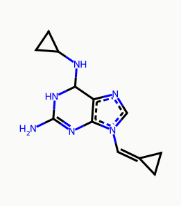 NC1=Nc2c(ncn2C=C2CC2)C(NC2CC2)N1